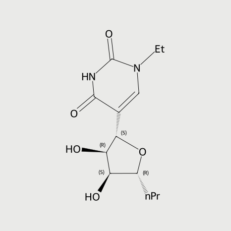 CCC[C@H]1O[C@@H](c2cn(CC)c(=O)[nH]c2=O)[C@H](O)[C@@H]1O